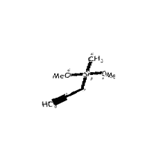 C#CC[Si](C)(OC)OC